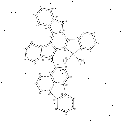 CC1(C)c2ccccc2-c2c1c1c(c3ccccc3n1-c1ccc3c4c(cccc14)-c1ccccc1-3)c1c2sc2ccccc21